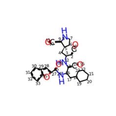 O=C=CC(C[C@@H]1CCNC1=C=O)NC(=C=O)C(CC1CCCCC1)NC(=O)c1cc2ccccc2o1